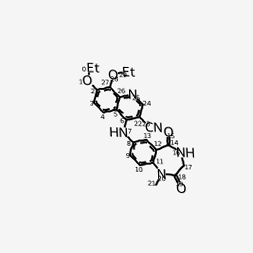 CCOc1ccc2c(Nc3ccc4c(c3)C(=O)NCC(=O)N4C)c(C#N)cnc2c1OCC